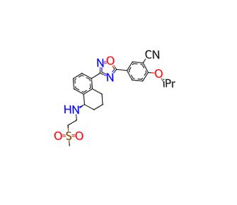 CC(C)Oc1ccc(-c2nc(-c3cccc4c3CCC[C@H]4NCCS(C)(=O)=O)no2)cc1C#N